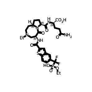 CCOP(=O)(O)C(F)(F)c1ccc2sc(C(=O)N[C@H]3CN(CC)CC[C@H]4CC[C@@H](C(=O)N[C@@H](CCC(N)=O)C(=O)O)N4C3=O)cc2c1